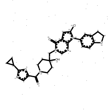 O=C(c1cnc(C2CC2)o1)N1CCC(O)(Cn2cnc3c(cc(Cl)n3-c3ccc4c(c3)CCO4)c2=O)CC1